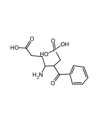 NC(CCC(=O)O)C(CP(=O)(O)O)C(=O)c1ccccc1